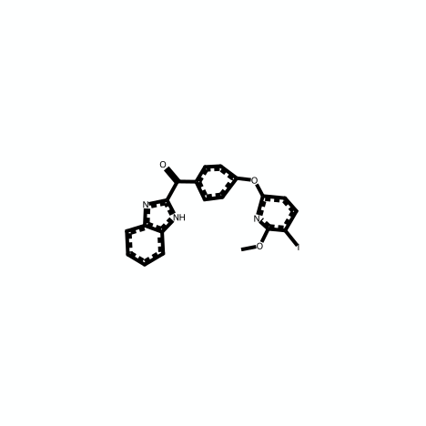 COc1nc(Oc2ccc(C(=O)c3nc4ccccc4[nH]3)cc2)ccc1I